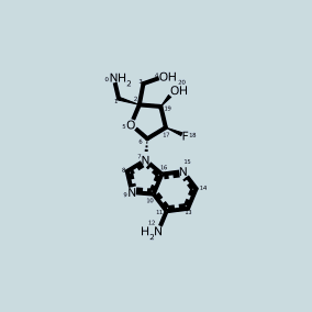 NC[C@]1(CO)O[C@@H](n2cnc3c(N)ccnc32)[C@H](F)[C@@H]1O